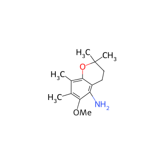 COc1c(C)c(C)c2c(c1N)CCC(C)(C)O2